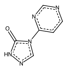 O=c1[nH]ncn1-c1ccncn1